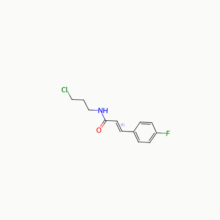 O=C(/C=C/c1ccc(F)cc1)NCCCCl